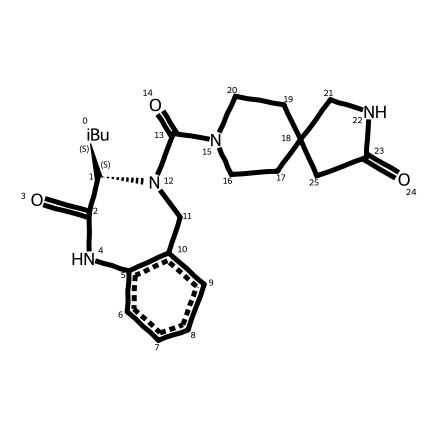 CC[C@H](C)[C@H]1C(=O)Nc2ccccc2CN1C(=O)N1CCC2(CC1)CNC(=O)C2